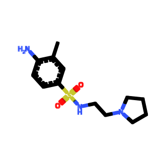 Cc1cc(S(=O)(=O)NCCN2CCCC2)ccc1N